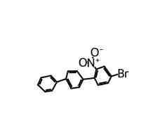 O=[N+]([O-])c1cc(Br)ccc1-c1ccc(-c2ccccc2)cc1